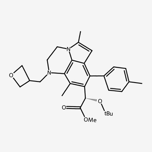 COC(=O)[C@@H](OC(C)(C)C)c1c(C)c2c3c(cc(C)n3CCN2CC2COC2)c1-c1ccc(C)cc1